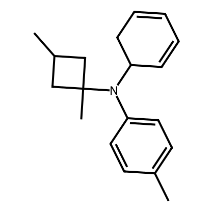 Cc1ccc(N(C2C=CC=CC2)C2(C)CC(C)C2)cc1